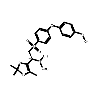 CC1=C([C@@H](CS(=O)(=O)c2ccc(Oc3ccc(OC(F)(F)F)cc3)cc2)N(O)C=O)OC(C)(C)O1